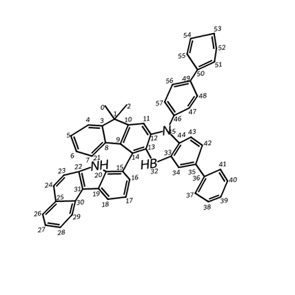 CC1(C)c2ccccc2-c2c1cc1c(c2-c2cccc3c2[nH]c2ccc4ccccc4c23)Bc2cc(-c3ccccc3)ccc2N1c1ccc(-c2ccccc2)cc1